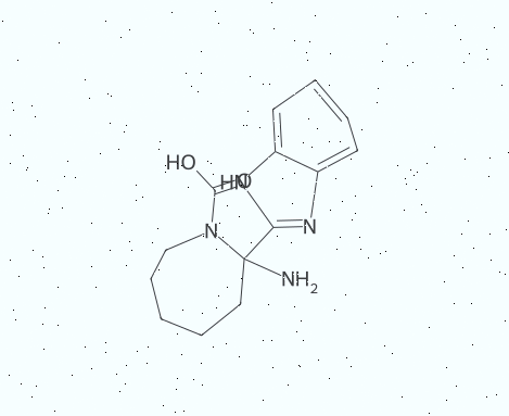 NC1(c2nc3ccccc3[nH]2)CCCCCN1C(=O)O